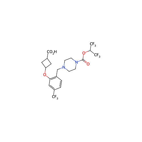 O=C(O)C1CC(Oc2cc(C(F)(F)F)ccc2CN2CCN(C(=O)OC(C(F)(F)F)C(F)(F)F)CC2)C1